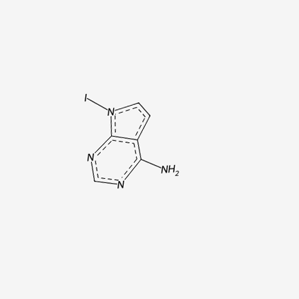 Nc1ncnc2c1ccn2I